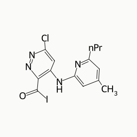 CCCc1cc(C)cc(Nc2cc(Cl)nnc2C(=O)I)n1